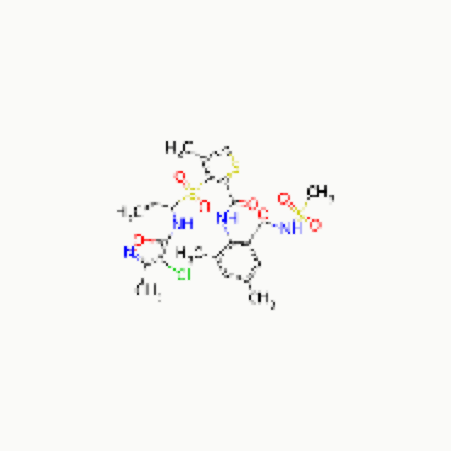 C=CC(Nc1onc(C)c1Cl)S(=O)(=O)c1c(C)csc1C(=O)Nc1c(C)cc(C)cc1C(=O)NS(C)(=O)=O